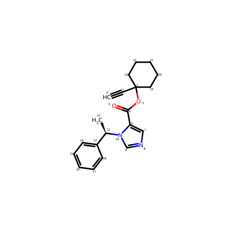 C#CC1(OC(=O)c2cncn2[C@H](C)c2ccccc2)CCCCC1